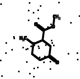 COC(=O)C1CC(=O)CCN1C